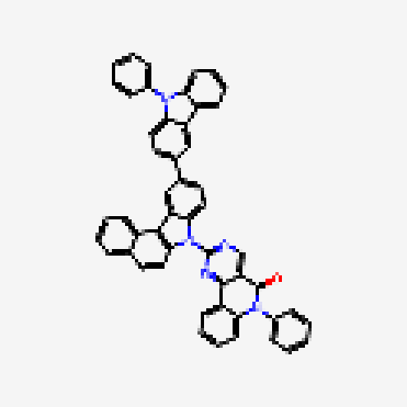 O=c1c2cnc(-n3c4ccc(-c5ccc6c(c5)c5ccccc5n6-c5ccccc5)cc4c4c5ccccc5ccc43)nc2c2ccccc2n1-c1ccccc1